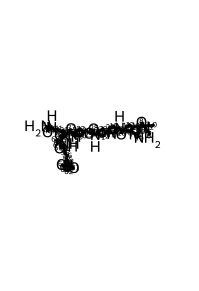 CCCN(CCC)C(=O)C1=Cc2ccc(C(=O)Nc3ccc(N4CCC(NC(=O)OCc5ccc(NC(=O)[C@H](CCCCNC(N)=O)NC(=O)[C@@H](NC(=O)CCCCCN6C(=O)C=CC6=O)C(C)C)cc5)CC4)nc3)cc2N=C(N)C1